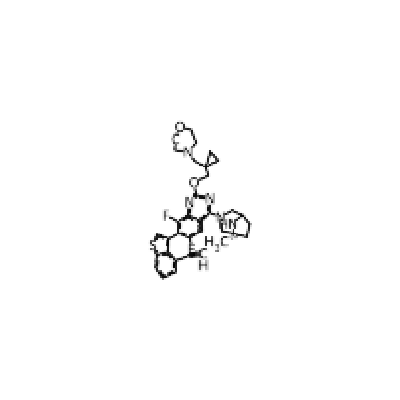 C#Cc1cccc2scc(-c3c(F)cc4c(N5CC6CC[C@@](C)(C5)N6)nc(OCC5(CN6CCOCC6)CC5)nc4c3F)c12